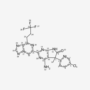 CC1(c2ccc(Cl)cn2)C(=O)Nc2nc(-c3cn4ncnc4c(CCC(F)(F)F)n3)nc(N)c21